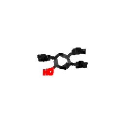 CC(C)(C)c1cc(C(C)(C)C)c(C(C)(C)C)cc1O